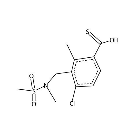 Cc1c(C(O)=S)ccc(Cl)c1CN(C)S(C)(=O)=O